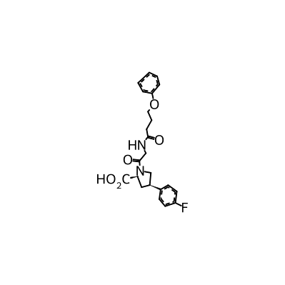 O=C(CCCOc1ccccc1)NCC(=O)N1C[C@@H](c2ccc(F)cc2)C[C@H]1C(=O)O